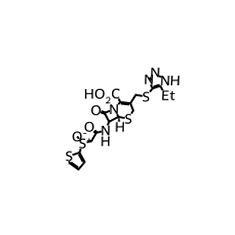 CCc1[nH]nnc1SCC1=C(C(=O)O)N2C(=O)C(NC(=O)C[S+]([O-])c3cccs3)[C@H]2SC1